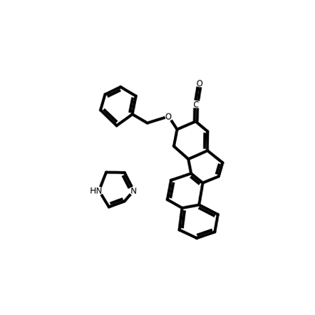 C1=CNCC=N1.O=C=C1C=C2C=Cc3c(ccc4ccccc34)C2CC1OCc1ccccc1